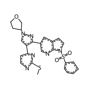 CSc1nccc(-c2cn(C3CCOC3)nc2-c2cnc3c(ccn3S(=O)(=O)c3ccccc3)c2)n1